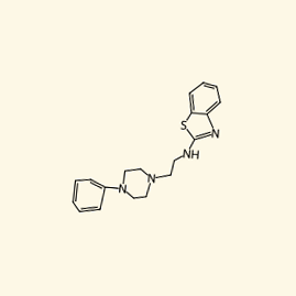 c1ccc(N2CCN(CCNc3nc4ccccc4s3)CC2)cc1